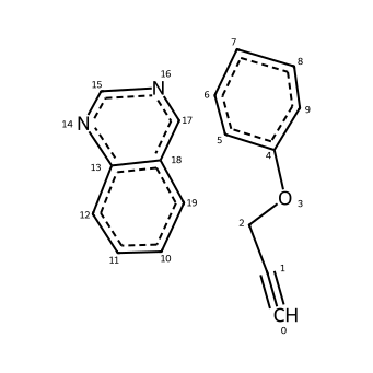 C#CCOc1ccccc1.c1ccc2ncncc2c1